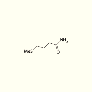 CSCCCC(N)=O